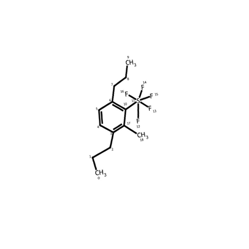 CCCc1ccc(CCC)c(S(F)(F)(F)(F)F)c1C